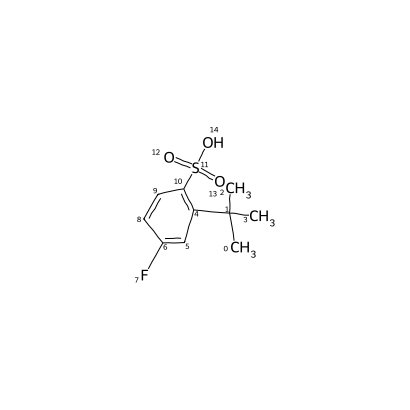 CC(C)(C)c1cc(F)ccc1S(=O)(=O)O